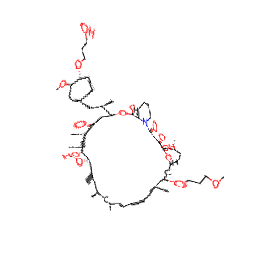 C=C1[C@H](C)C[C@H](C)/C=C/C=C/C=C(\C)C(OCCCOC)C[C@@H]2CC[C@@H](C)[C@@](O)(O2)C(=O)C(=O)N2CCCC[C@H]2C(=O)O[C@H]([C@H](C)C[C@@H]2CC[C@@H](OCCCO)[C@H](OC)C2)CC(=O)[C@H](C)/C=C(\C)[C@@H](O)[C@H]1OC